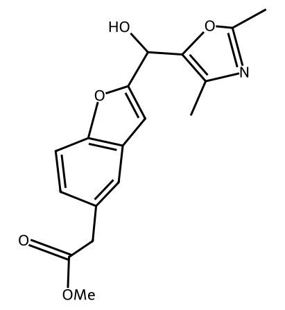 COC(=O)Cc1ccc2oc(C(O)c3oc(C)nc3C)cc2c1